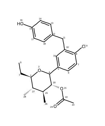 CC[C@H]1OC(c2ccc(Cl)c(Cc3ccc(O)cc3)c2)[C@H](OC(C)=O)[C@@H](C)[C@@H]1C